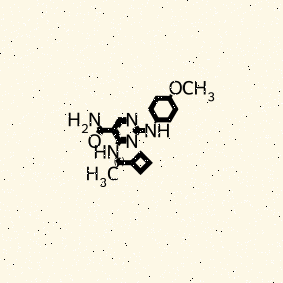 CO[C@H]1CC[C@H](Nc2ncc(C(N)=O)c(N[C@@H](C)C3CCC3)n2)CC1